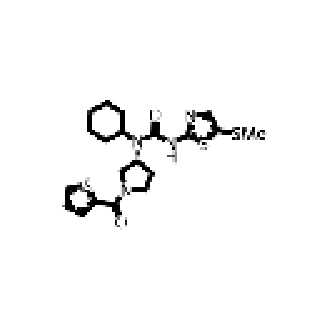 CSc1cnc(NC(=O)N(C2CCCCC2)[C@@H]2CCN(C(=O)c3cccs3)C2)s1